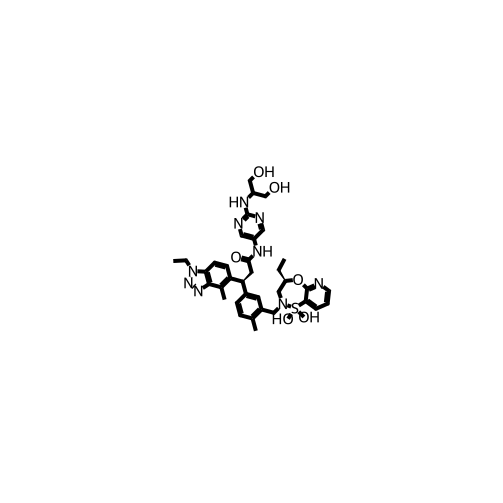 CC[C@@H]1CN(Cc2cc([C@H](CC(=O)Nc3cnc(NC(CO)CO)nc3)c3ccc4c(nnn4CC)c3C)ccc2C)S(O)(O)c2cccnc2O1